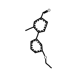 CCOc1cccc(-c2ccc(C=O)cc2C)c1